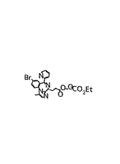 CCOC(=O)OCOC(=O)CC[C@@H]1N=C(c2ccccn2)c2cc(Br)ccc2-n2c(C)cnc21